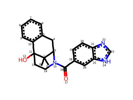 CC1(C)C2Cc3ccccc3C1(O)CCN2C(=O)c1ccc2nc[nH]c2c1